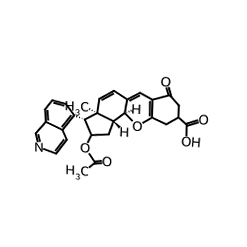 CC(=O)OC1C[C@H]2[C@@H]3OC4=C(C=C3C=C[C@]2(C)[C@H]1c1cccc2cnccc12)C(=O)CC(C(=O)O)C4